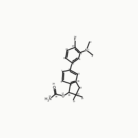 CN(C)c1cc(-c2ccc3c(c2)CC(C)(C)C3OC(N)=O)ccc1F